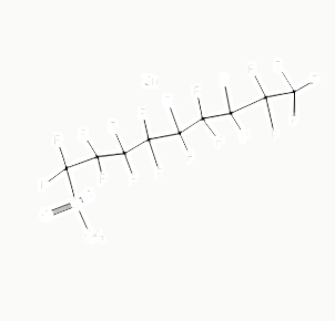 O=S(=O)(O)C(F)(F)C(F)(F)C(F)(F)C(F)(F)C(F)(F)C(F)(F)C(F)(F)C(F)(F)C(F)(F)F.[Zn]